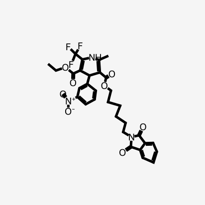 CCOC(=O)C1=C(C(F)(F)F)NC(C)=C(C(=O)OCCCCCCN2C(=O)c3ccccc3C2=O)C1c1cccc([N+](=O)[O-])c1